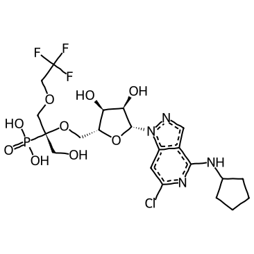 O=P(O)(O)[C@](CO)(COCC(F)(F)F)OC[C@H]1O[C@@H](n2ncc3c(NC4CCCC4)nc(Cl)cc32)[C@H](O)[C@@H]1O